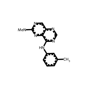 CNc1ncc2ncnc(Nc3cccc(C)c3)c2n1